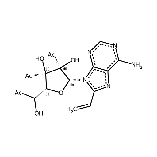 C=Cc1nc2c(N)ncnc2n1[C@@H]1O[C@H](C(O)C(C)=O)[C@](O)(C(C)=O)[C@]1(O)C(C)=O